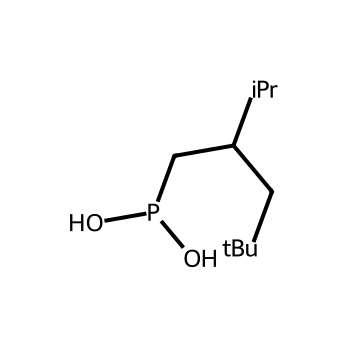 CC(C)C(CP(O)O)CC(C)(C)C